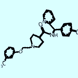 O=C(NC(c1ccc(Cl)cc1)c1ccccn1)C1CCN(CCOc2cccc(C(F)(F)F)c2)CC1